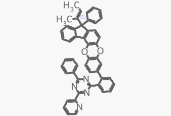 C/C=C(\C)C1(c2ccccc2)c2ccccc2-c2c1ccc1c2Oc2ccc(-c3ccccc3-c3nc(-c4ccccc4)nc(-c4ccccn4)n3)cc2O1